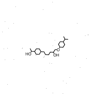 CC(C)C1CCC(OCC(O)CC[C@H](C)CC2CCC(C(C)O)CC2)CC1